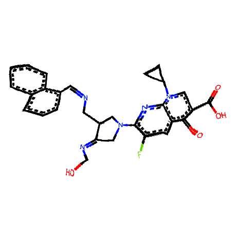 O=C(O)c1cn(C2CC2)c2nc(N3C/C(=N\CO)C(C/N=C\c4cccc5ccccc45)C3)c(F)cc2c1=O